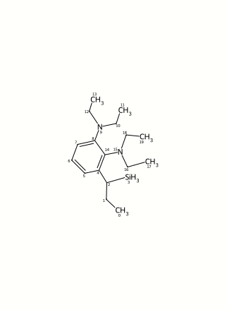 CCC([SiH3])c1cccc(N(CC)CC)c1N(CC)CC